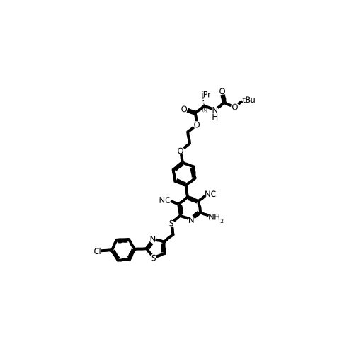 [C-]#[N+]c1c(N)nc(SCc2csc(-c3ccc(Cl)cc3)n2)c(C#N)c1-c1ccc(OCCOC(=O)[C@@H](NC(=O)OC(C)(C)C)C(C)C)cc1